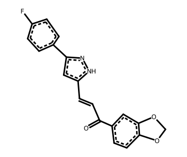 O=C(/C=C/c1cc(-c2ccc(F)cc2)n[nH]1)c1ccc2c(c1)OCO2